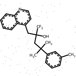 Cc1cccc(C(C)(C)CC(O)(Cc2ccnc3ccccc23)C(F)(F)F)c1